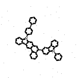 c1ccc(-c2ccc(-n3c4ccccc4c4cc5c(cc(-c6ccc7c(c6)c6ccccc6n7-c6ccccc6)c6ccccc65)cc43)cc2)cc1